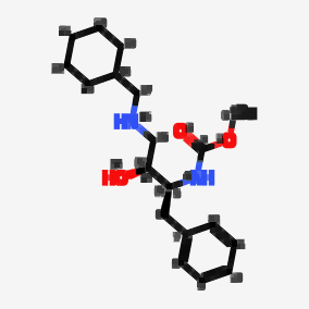 CC(C)(C)OC(=O)N[C@@H](Cc1ccccc1)[C@@H](O)CNCC1CCCCC1